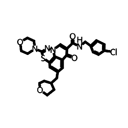 O=C(NCc1ccc(Cl)cc1)c1cn2c3c(cc(CC4CCOCC4)cc3c1=O)SC(N1CCOCC1)=N2